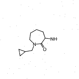 [NH]C1CCCCN(CC2CC2)C1=O